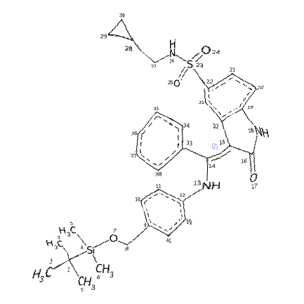 CC(C)(C)[Si](C)(C)OCc1ccc(N/C(=C2\C(=O)Nc3ccc(S(=O)(=O)NCC4CC4)cc32)c2ccccc2)cc1